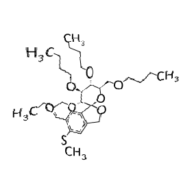 CCCCOC[C@H]1O[C@]2(OCc3cc(SC)c(C=O)cc32)[C@H](OCCCC)[C@@H](OCCCC)[C@@H]1OCCCC